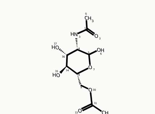 CC(=O)N[C@@H]1C(O)O[C@H](COC(C)=O)[C@@H](O)[C@@H]1O